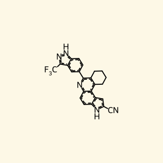 N#Cc1cc2c(ccc3nc(-c4ccc5[nH]nc(C(F)(F)F)c5c4)c4c(c32)CCCC4)[nH]1